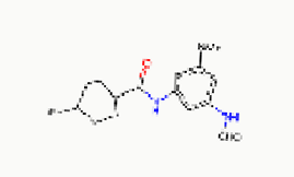 CNc1cc(NC=O)cc(NC(=O)C2CCC(C(C)C)CC2)c1